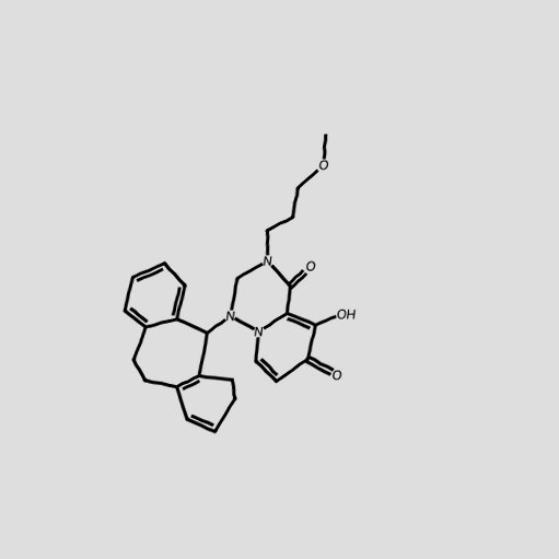 COCCCN1CN(C2C3=C(C=CCC3)CCc3ccccc32)n2ccc(=O)c(O)c2C1=O